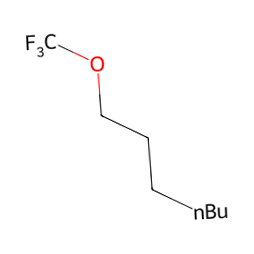 [CH2]CCCCCCOC(F)(F)F